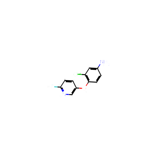 Nc1ccc(Oc2ccc(F)nc2)c(Cl)c1